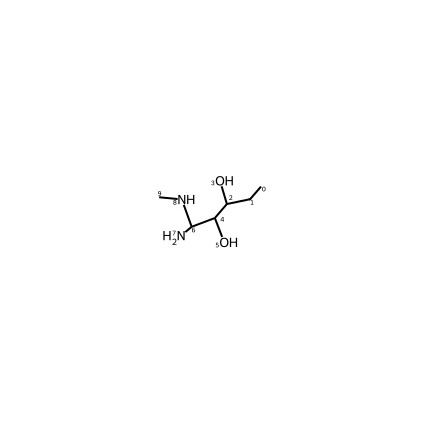 CCC(O)C(O)C(N)NC